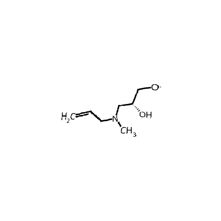 C=CCN(C)C[C@@H](O)C[O]